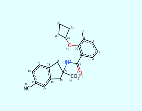 Cc1cccc(C(=O)NC2(C(=O)O)Cc3ccc(C#N)cc3C2)c1OC1CCC1